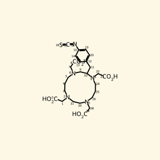 O=C(O)CN1CCCN(CC(=O)O)CC(Cc2ccc(N=C=S)cc2)N(CC(=O)O)CCCN(CC(=O)O)CC1